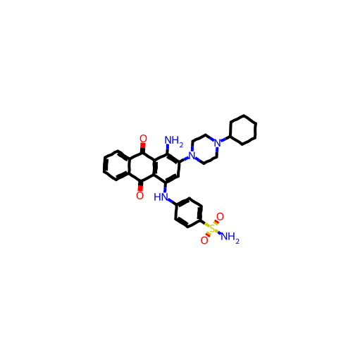 Nc1c(N2CCN(C3CCCCC3)CC2)cc(Nc2ccc(S(N)(=O)=O)cc2)c2c1C(=O)c1ccccc1C2=O